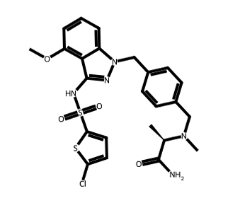 COc1cccc2c1c(NS(=O)(=O)c1ccc(Cl)s1)nn2Cc1ccc(CN(C)[C@H](C)C(N)=O)cc1